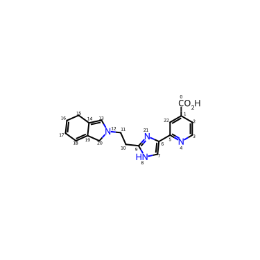 O=C(O)c1ccnc(-c2c[nH]c(CCN3C=C4CC=CC=C4C3)n2)c1